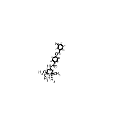 CC1(C)CC(NC(=O)c2ccc(OCc3cccc(F)c3)cc2)CC(C)(C)N1